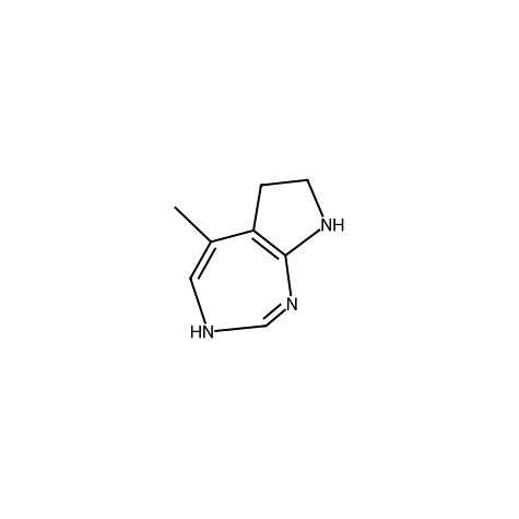 CC1=CNC=NC2=C1CCN2